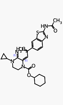 C=C(/C=C1\C(=N/C)N(C2CC2)CCN1C(=O)OC1CCCCC1)c1ccc2nc(NC(C)=O)sc2c1